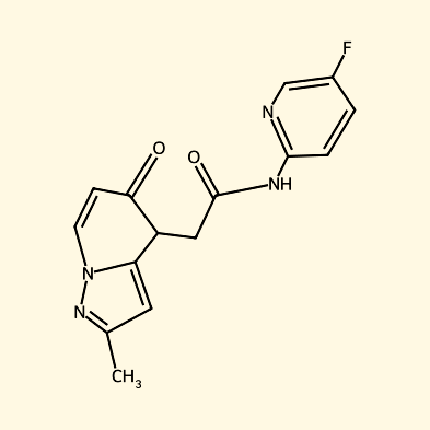 Cc1cc2n(n1)C=CC(=O)C2CC(=O)Nc1ccc(F)cn1